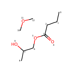 CCCC(=O)OCC(C)O.COC